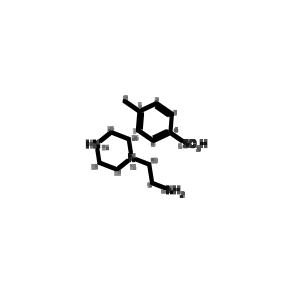 Cc1ccc(S(=O)(=O)O)cc1.NCCN1CCNCC1